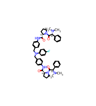 CN(C)[C@@H](C(=O)N1CCC[C@H]1C(=O)Nc1ccc(CN(Cc2ccc(NC(=O)[C@@H]3CCCN3C(=O)[C@@H](c3ccccc3)N(C)C)cc2)c2ccc(F)cc2)cc1)c1ccccc1